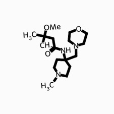 COC(C)(C)CC(=O)NC1(CN2CCOCC2)CCN(C)CC1